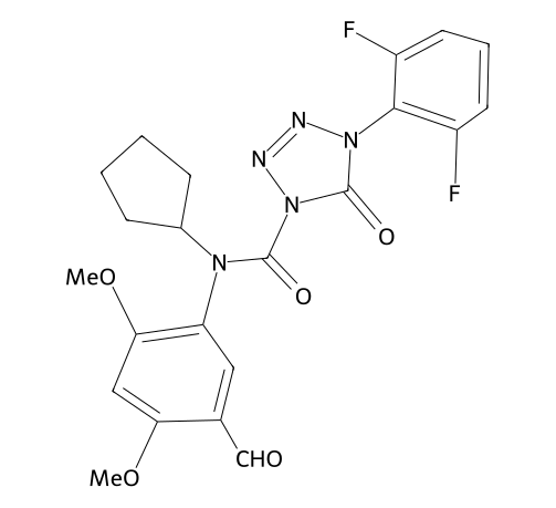 COc1cc(OC)c(N(C(=O)n2nnn(-c3c(F)cccc3F)c2=O)C2CCCC2)cc1C=O